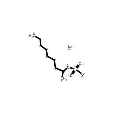 CCCCCCCC(C)OS(=O)(=O)[O-].[Na+]